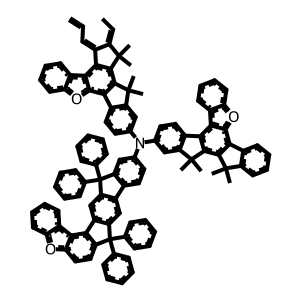 C=C/C=C1\C(=C/C)C(C)(C)c2c3c(c4oc5ccccc5c4c21)-c1ccc(N(c2ccc4c(c2)C(C)(C)c2c5c(c6oc7ccccc7c6c2-4)-c2ccccc2C5(C)C)c2ccc4c(c2)C(c2ccccc2)(c2ccccc2)c2cc5c(cc2-4)C(c2ccccc2)(c2ccccc2)c2ccc4oc6ccccc6c4c2-5)cc1C3(C)C